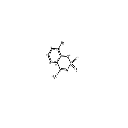 CC1=NS(=O)(=O)Oc2c(Br)cccc21